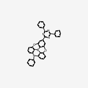 c1ccc(-c2nc(-c3ccccc3)nc(-c3cc4c5c(c3)Oc3cccc6c3B5c3c(cccc3N6c3ccccc3)O4)n2)cc1